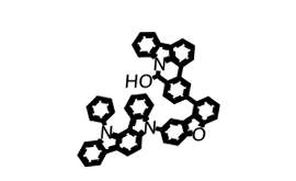 OC1c2ccc(-c3cccc4oc5ccc(-n6c7ccccc7c7c6ccc6c8ccccc8n(-c8ccccc8)c67)cc5c34)cc2-c2cccc3c4ccccc4n1c23